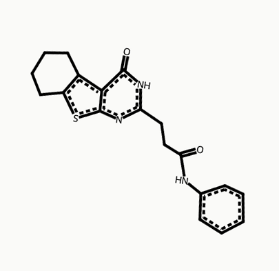 O=C(CCc1nc2sc3c(c2c(=O)[nH]1)CCCC3)Nc1ccccc1